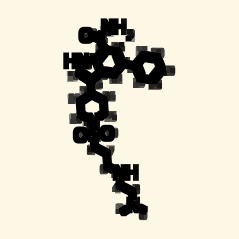 CN(C)CCNCCCS(=O)(=O)N1CCC(c2c[nH]c3c(C(N)=O)cc(-c4ccccc4)cc23)CC1